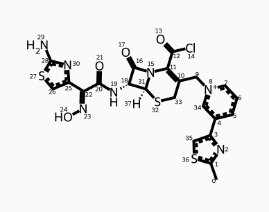 Cc1nc(-c2ccc[n+](CC3=C(C(=O)Cl)N4C(=O)[C@@H](NC(=O)C(=NO)c5csc(N)n5)[C@@H]4SC3)c2)cs1